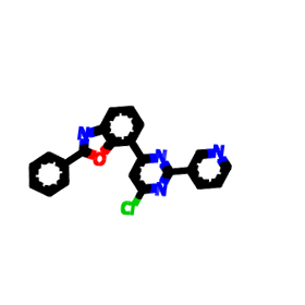 Clc1cc(-c2cccc3nc(-c4ccccc4)oc23)nc(-c2cccnc2)n1